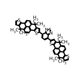 CC1(C)c2ccsc2-c2ccc3c4c(ccc1c24)-c1sc(-c2ccc(-c4cc5c(s4)-c4ccc6c7c(ccc(c47)C5(C)C)-c4sccc4C6(C)C)c4nsnc24)cc1C3(C)C